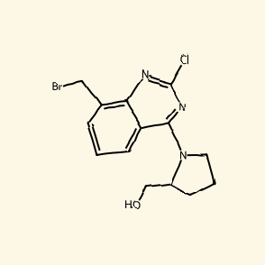 OCC1CCCN1c1nc(Cl)nc2c(CBr)cccc12